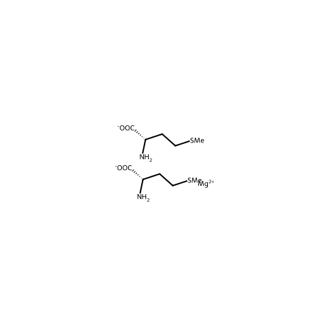 CSCC[C@H](N)C(=O)[O-].CSCC[C@H](N)C(=O)[O-].[Mg+2]